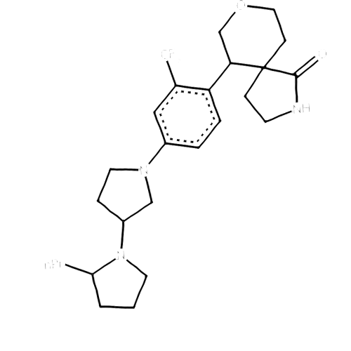 CCCC1CCCN1C1CCN(c2ccc(C3COCCC34CCNC4=O)c(C(F)(F)F)c2)C1